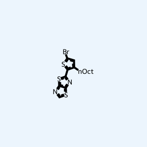 CCCCCCCCc1cc(Br)sc1-c1nc2scnc2s1